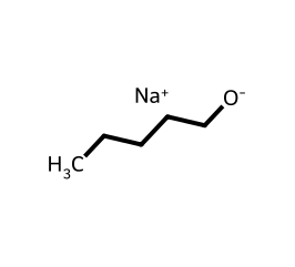 CCCCC[O-].[Na+]